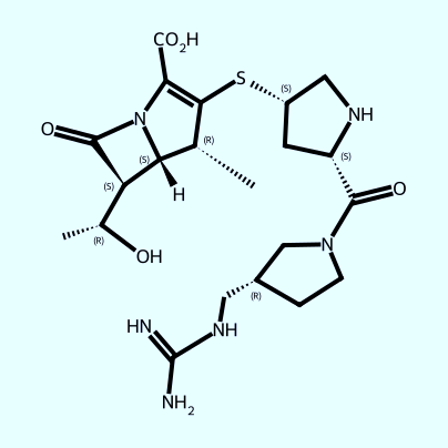 C[C@@H](O)[C@H]1C(=O)N2C(C(=O)O)=C(S[C@@H]3CN[C@H](C(=O)N4CC[C@H](CNC(=N)N)C4)C3)[C@H](C)[C@H]12